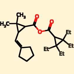 CCC1(CC)C(C(=O)OC(=O)C2C(C=C3CCCC3)C2(C)C)C1(CC)CC